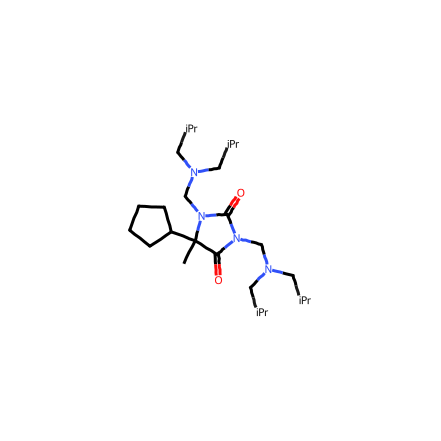 CC(C)CN(CC(C)C)CN1C(=O)N(CN(CC(C)C)CC(C)C)C(C)(C2CCCC2)C1=O